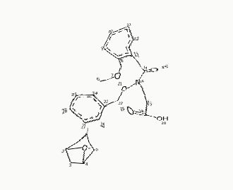 C1CC2CC1O2.COc1ccccc1C(=O)N(CC(=O)O)OCc1ccccc1